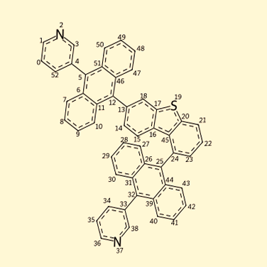 c1cncc(-c2c3ccccc3c(-c3ccc4c(c3)sc3cccc(-c5c6ccccc6c(-c6cccnc6)c6ccccc56)c34)c3ccccc23)c1